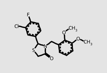 COc1cccc(CN2C(=O)CSC2c2ccc(F)c(Cl)c2)c1OC